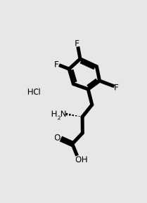 Cl.N[C@@H](CC(=O)O)Cc1cc(F)c(F)cc1F